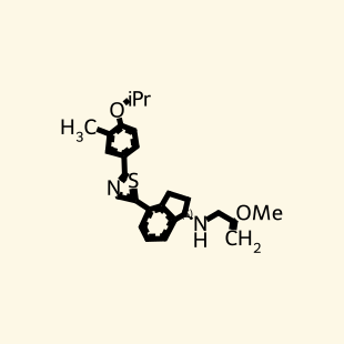 C=C(CN[C@H]1CCc2c(-c3cnc(-c4ccc(OC(C)C)c(C)c4)s3)cccc21)OC